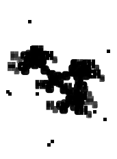 CC(=O)N[C@H]1[C@H](OCCOCCOc2cc(C(=O)O)cc(OCCOCCO[C@@H]3O[C@H](COC(C)=O)[C@H](OC(C)=O)[C@H](OC(C)=O)[C@H]3NC(C)=O)c2OCCOCCO[C@@H]2O[C@H](COC(C)=O)[C@H](OC(C)=O)C(OC(C)=O)[C@H]2NC(C)=O)O[C@H](COC(C)=O)[C@H](OC(C)=O)[C@@H]1OC(C)=O